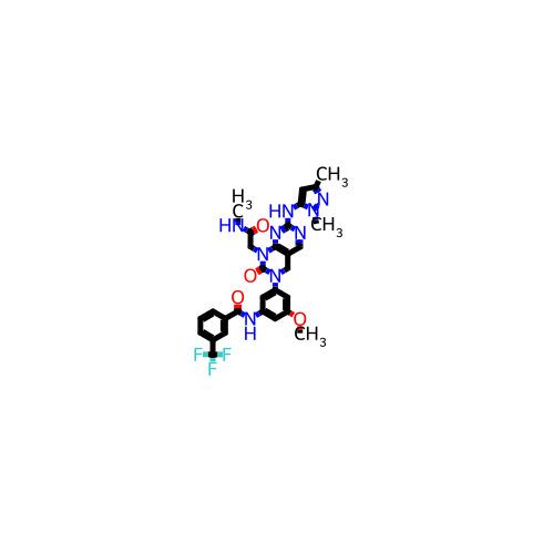 CNC(=O)CN1C(=O)N(c2cc(NC(=O)c3cccc(C(F)(F)F)c3)cc(OC)c2)Cc2cnc(Nc3cc(C)nn3C)nc21